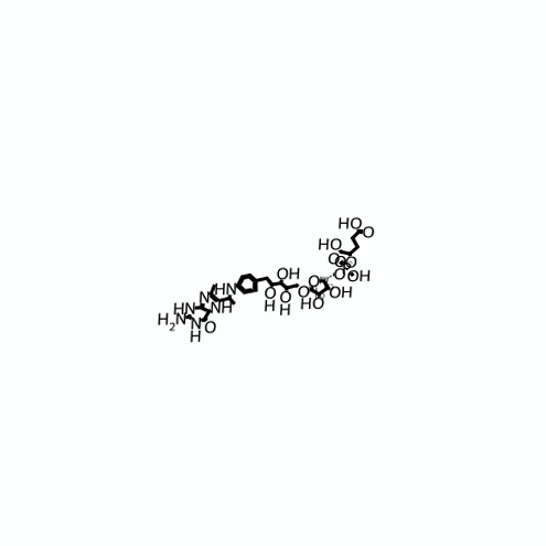 CC1=C(C(C)Nc2ccc(CC(O)C(O)C(O)CO[C@H]3O[C@H](COP(=O)(O)OC(CCC(=O)O)C(=O)O)[C@@H](O)[C@H]3O)cc2)NC2C(=O)NC(N)NC2=N1